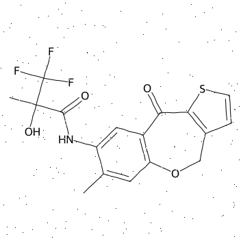 Cc1cc2c(cc1NC(=O)C(C)(O)C(F)(F)F)C(=O)c1sccc1CO2